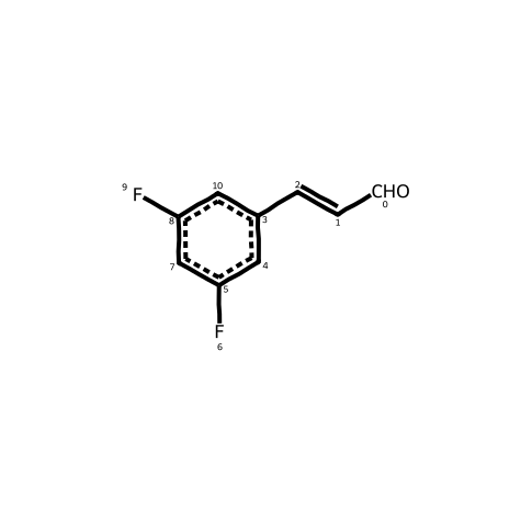 O=CC=Cc1cc(F)cc(F)c1